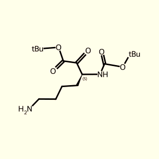 CC(C)(C)OC(=O)N[C@@H](CCCCN)C(=O)C(=O)OC(C)(C)C